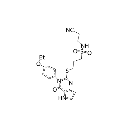 CCOc1ccc(-n2c(SCCCS(=O)(=O)NCCC#N)nc3cc[nH]c3c2=O)cc1